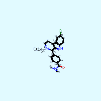 CCOC(=O)N1CCc2c([nH]c3ccc(Br)cc23)C1c1ccc(C(=O)N(C)C)cc1